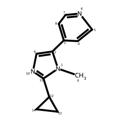 Cn1c(-c2ccncc2)cnc1C1CC1